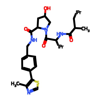 Cc1ncsc1-c1ccc(CNC(=O)C2CC(O)CN2C(=O)C(NC(=O)C(C)CC(C)C)C(C)C)cc1